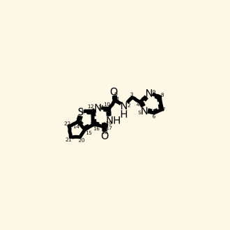 O=C(NCc1ncccn1)c1nc2sc3c(c2c(=O)[nH]1)CCC3